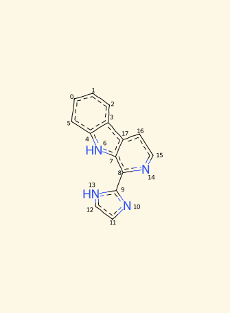 c1ccc2c(c1)[nH]c1c(-c3ncc[nH]3)nccc12